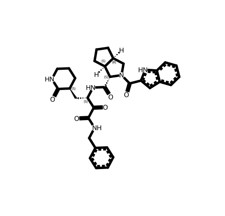 O=C(NCc1ccccc1)C(=O)[C@H](C[C@@H]1CCCNC1=O)NC(=O)[C@@H]1[C@H]2CCC[C@H]2CN1C(=O)c1cc2ccccc2[nH]1